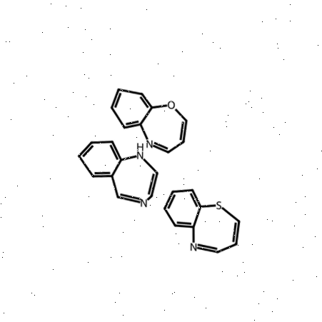 C1=CNc2ccccc2C=N1.C1=COc2ccccc2N=C1.C1=CSc2ccccc2N=C1